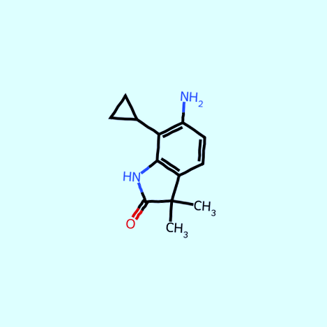 CC1(C)C(=O)Nc2c1ccc(N)c2C1CC1